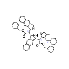 CC1=C(/C=C2/C=CC=CC2)/C(=C(\C(=O)OCc2ccccc2)c2[nH]c(/C(C(=O)OCc3ccccc3)=C3\N=Cc4cc5ccccc5cc43)c3cc4ccccc4cc23)N=C1